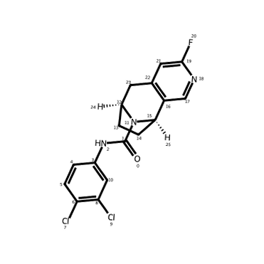 O=C(Nc1ccc(Cl)c(Cl)c1)N1[C@H]2CC[C@@H]1c1cnc(F)cc1C2